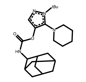 CC(C)(C)n1ncc(OC(=O)NC2C3CC4CC(C3)CC2C4)c1N1CCCCC1